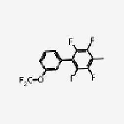 Cc1c(F)c(F)c(-c2cccc(OC(F)(F)F)c2)c(F)c1F